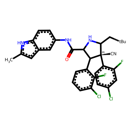 Cc1cc2cc(NC(=O)C3NC(CC(C)(C)C)[C@](C#N)(c4ccc(Cl)cc4F)C3c3cccc(Cl)c3F)ccc2[nH]1